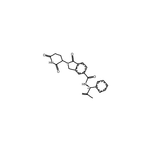 C=C(C)[C@@H](NC(=O)c1ccc2c(c1)CN(C1CCC(=O)NC1=O)C2=O)c1ccccc1